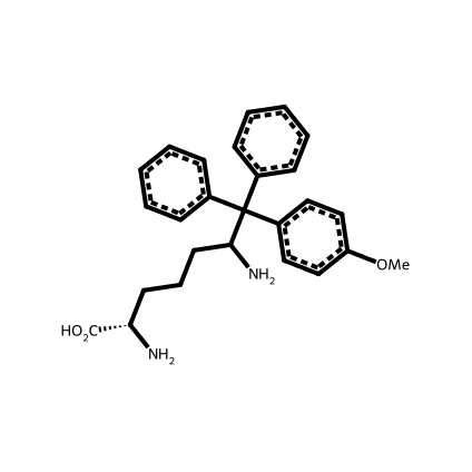 COc1ccc(C(c2ccccc2)(c2ccccc2)C(N)CCC[C@H](N)C(=O)O)cc1